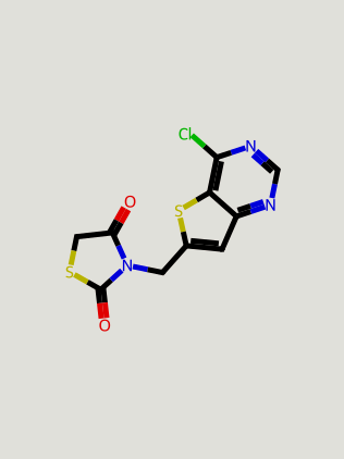 O=C1CSC(=O)N1Cc1cc2ncnc(Cl)c2s1